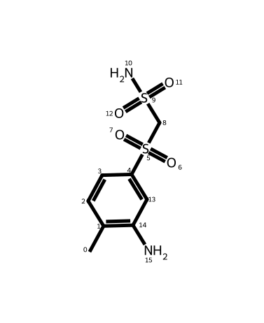 Cc1ccc(S(=O)(=O)CS(N)(=O)=O)cc1N